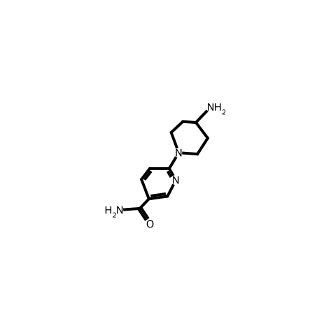 NC(=O)c1ccc(N2CCC(N)CC2)nc1